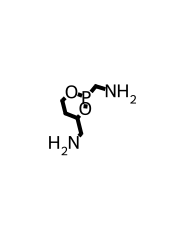 NCC1CCOP(CN)O1